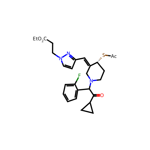 CCOC(=O)CCn1ccc(/C=C2\CN(C(C(=O)C3CC3)c3ccccc3F)CC[C@H]2SC(C)=O)n1